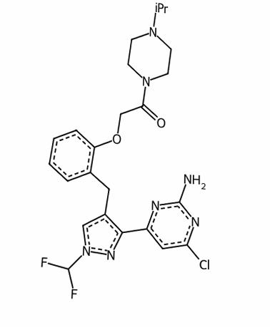 CC(C)N1CCN(C(=O)COc2ccccc2Cc2cn(C(F)F)nc2-c2cc(Cl)nc(N)n2)CC1